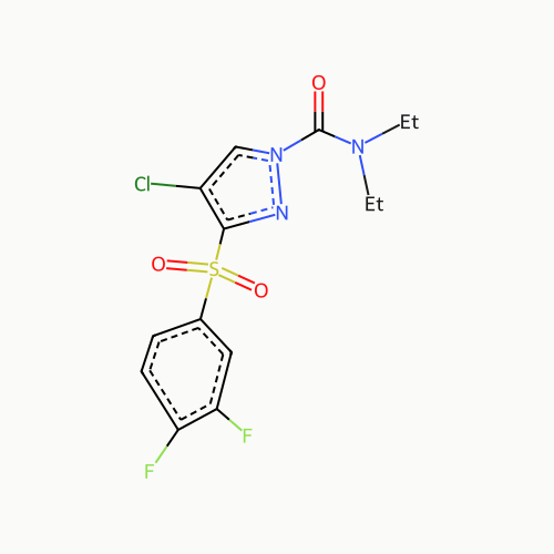 CCN(CC)C(=O)n1cc(Cl)c(S(=O)(=O)c2ccc(F)c(F)c2)n1